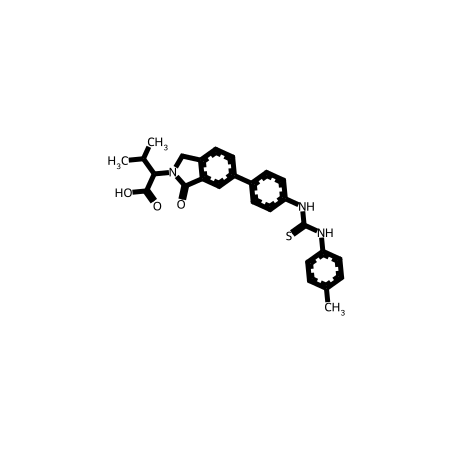 Cc1ccc(NC(=S)Nc2ccc(-c3ccc4c(c3)C(=O)N(C(C(=O)O)C(C)C)C4)cc2)cc1